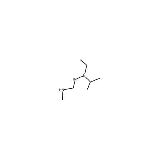 CCN(NCNC)C(C)C